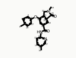 Cc1ccc(Oc2cc(C(=O)Nc3ccc(C)cn3)cc3c2CN(C)C3=O)cc1